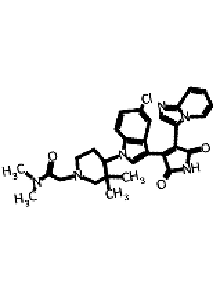 CN(C)C(=O)CN1CCC(n2cc(C3=C(c4cnc5ccccn45)C(=O)NC3=O)c3cc(Cl)ccc32)C(C)(C)C1